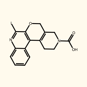 O=C(O)N1CCC2=C(COc3c(I)nc4ccccc4c32)C1